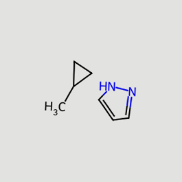 CC1CC1.c1cn[nH]c1